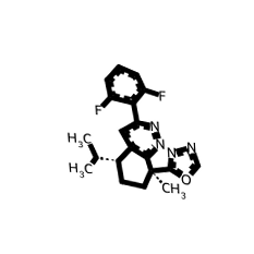 CC(C)[C@H]1CC[C@](C)(c2nnco2)c2nnc(-c3c(F)cccc3F)cc21